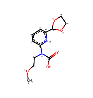 COCCN(C(=O)O)c1cccc(C2OCCO2)n1